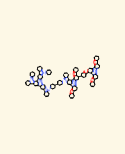 c1ccc(-n2c3ccccc3c3cc4c5c6c(cc7c8cc9c%10ccccc%10n(-c%10ccc(-c%11ccc(-n%12c%13ccccc%13c%13c%14c%15c%16oc%17ccccc%17c%16c(-c%16ccc%17c(c%16)oc%16cc%18c%19c%20oc%21ccccc%21c%20ccc%19n%19c%20ccc%21c%22ccccc%22oc%21c%20c(c%16%17)c%18%19)cc%15n%15c%16ccc%17c%18ccccc%18oc%17c%16c(cc%13%12)c%14%15)cc%11)cc%10)c9cc8n(c4cc32)c75)c2ccccc2n6-c2ccccc2)cc1